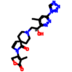 CC1=C(N2C=CC3(CCN(C[C@@H](O)c4nnc(-n5cnnn5)cc4C)CC3)C2=O)COC1=O